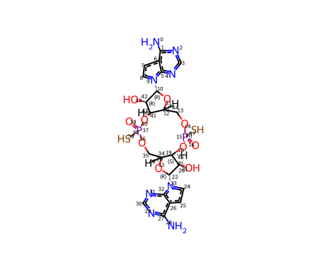 Nc1ncnc2c1ccn2[C@@H]1O[C@@H]2CO[P@@](=O)(S)O[C@H]3[C@@H](O)[C@H](n4ccc5c(N)ncnc54)O[C@@H]3CO[P@@](=O)(S)O[C@H]2[C@H]1O